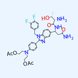 CC(=O)OCCN(CCOC(C)=O)c1ccc(-c2nc3cc(C(CC(N)=O)NC(=O)[C@@H](N)[C@@H](C)O)ccc3n2Cc2ccc(F)c(F)c2)cc1